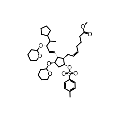 COC(=O)CCC/C=C\C[C@@H]1[C@@H](/C=C/[C@H](OC2CCCCO2)C(C)C2CCCC2)[C@H](OC2CCCCO2)C[C@H]1OS(=O)(=O)c1ccc(C)cc1